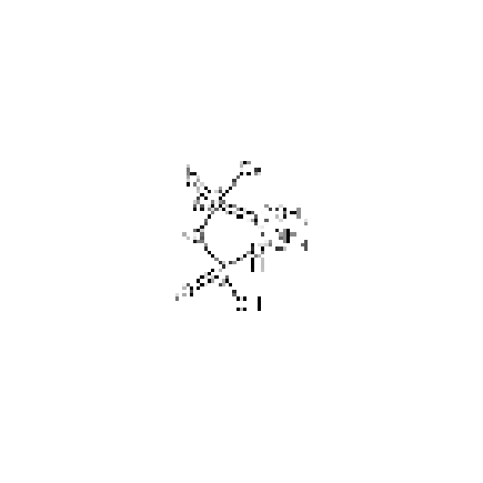 O.O=P(O)(O)[O][Mo](=[O])(=[O])[O-].[NH4+]